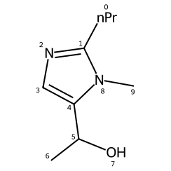 CCCc1ncc(C(C)O)n1C